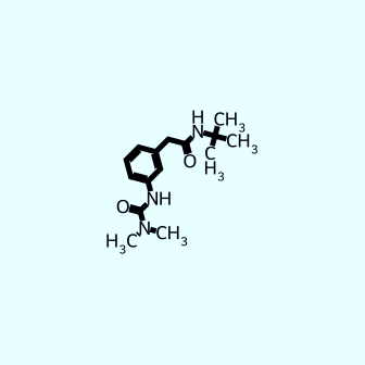 CN(C)C(=O)Nc1cccc(CC(=O)NC(C)(C)C)c1